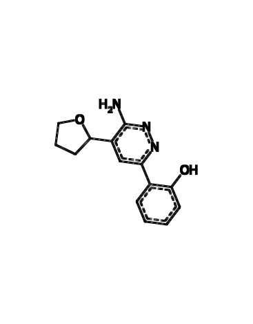 Nc1nnc(-c2ccccc2O)cc1C1CCCO1